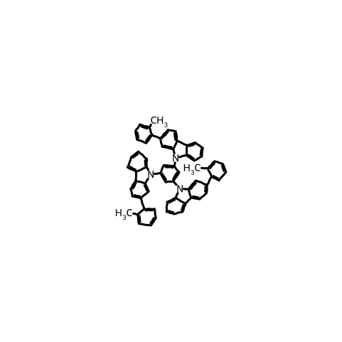 Cc1ccccc1-c1ccc2c3ccccc3n(-c3cc(-n4c5ccccc5c5ccc(-c6ccccc6C)cc54)cc(-n4c5ccccc5c5ccc(-c6ccccc6C)cc54)c3)c2c1